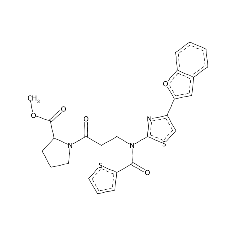 COC(=O)C1CCCN1C(=O)CCN(C(=O)c1cccs1)c1nc(-c2cc3ccccc3o2)cs1